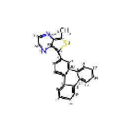 Cc1sc(-c2ccc3c4ccccc4c4ccccc4c3c2)c2nccnc12